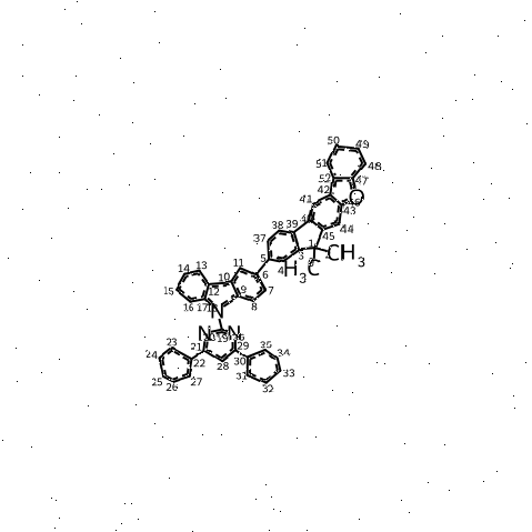 CC1(C)c2cc(-c3ccc4c(c3)c3ccccc3n4-c3nc(-c4ccccc4)cc(-c4ccccc4)n3)ccc2-c2cc3c(cc21)oc1ccccc13